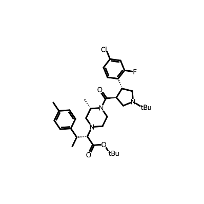 Cc1ccc(C(C)[C@@H](C(=O)OC(C)(C)C)N2CCN(C(=O)[C@@H]3CN(C(C)(C)C)C[C@H]3c3ccc(Cl)cc3F)[C@@H](C)C2)cc1